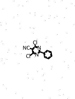 N#Cc1c(Cl)nc(-c2ccccc2)nc1Cl